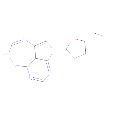 C[C@H]1C[C@@H](CO)O[C@H]1n1cc2c3c(ncnc31)NNC=N2